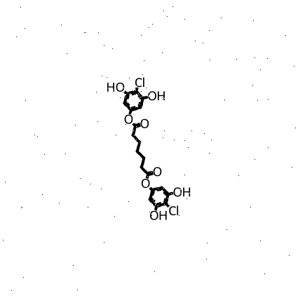 O=C(CCCCCC(=O)Oc1cc(O)c(Cl)c(O)c1)Oc1cc(O)c(Cl)c(O)c1